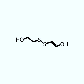 O/C=C/SSCCO